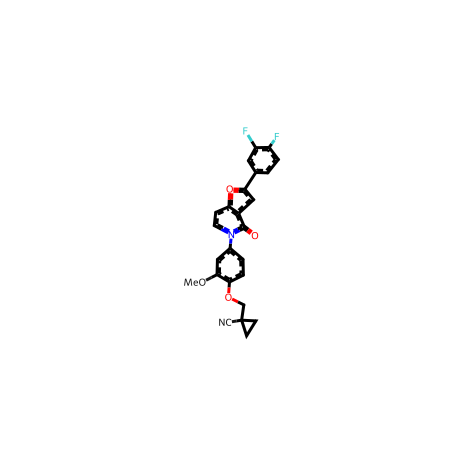 COc1cc(-n2ccc3oc(-c4ccc(F)c(F)c4)cc3c2=O)ccc1OCC1(C#N)CC1